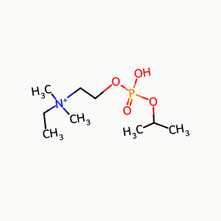 CC[N+](C)(C)CCOP(=O)(O)OC(C)C